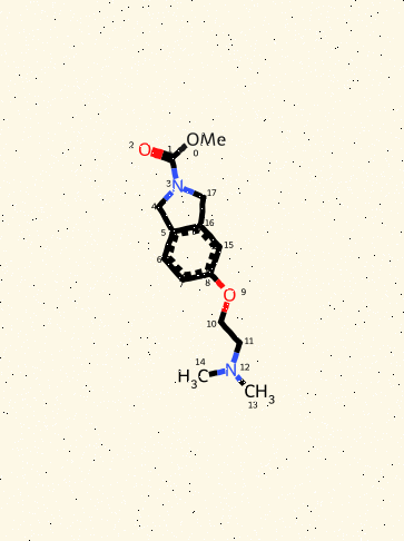 COC(=O)N1Cc2ccc(OCCN(C)C)cc2C1